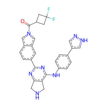 O=C(C1CC(F)(F)C1)n1cc2ccc(-c3nc4c(c(Nc5ccc(-c6cn[nH]c6)cc5)n3)CNC4)cc2c1